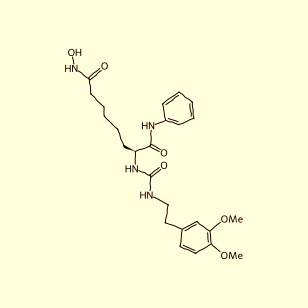 COc1ccc(CCNC(=O)N[C@@H](CCCCCC(=O)NO)C(=O)Nc2ccccc2)cc1OC